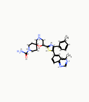 Cc1ncnc2ccc(-c3sc(C4CNCC5(CCN(C(N)=O)CC5)O4)nc3-c3cccc(C#N)c3)cc12